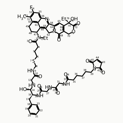 CCN(C(=O)CCCSCNC(=O)CNC(O)[C@H](Cc1ccccc1)NC(=O)CNC(=O)CNC(=O)CCCCCN1C(=O)C=CC1=O)[C@H]1CCc2c(C)c(F)cc3nc4c(c1c23)Cn1c-4cc2c(c1=O)COC(=O)[C@]2(O)CC